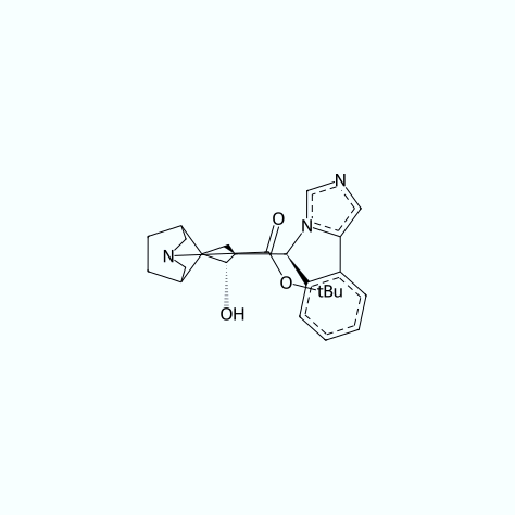 CC(C)(C)OC(=O)N1CC2CCC(C1)C21C[C@@H]([C@@H]2c3ccccc3-c3cncn32)[C@@H]1O